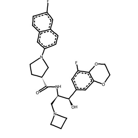 O=C(N[C@H](CN1CCC1)[C@H](O)c1cc(F)c2c(c1)OCCO2)[C@@H]1CCN(c2ccc3cc(F)ccc3c2)C1